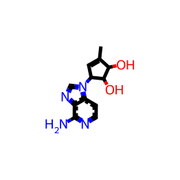 CC1=CC(n2cnc3c(N)nccc32)C(O)C1O